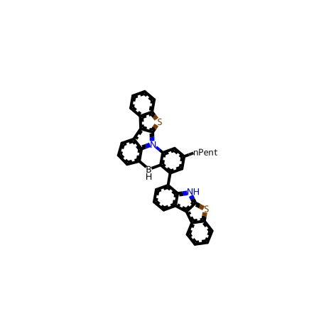 CCCCCc1cc(-c2cccc3c2[nH]c2sc4ccccc4c23)c2c(c1)-n1c3sc4ccccc4c3c3cccc(c31)B2